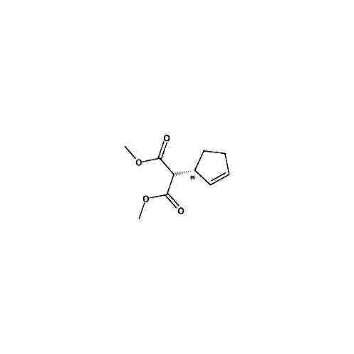 COC(=O)C(C(=O)OC)[C@H]1C=CCC1